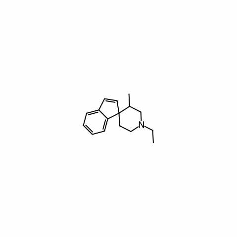 CCN1CCC2(C=Cc3ccccc32)C(C)C1